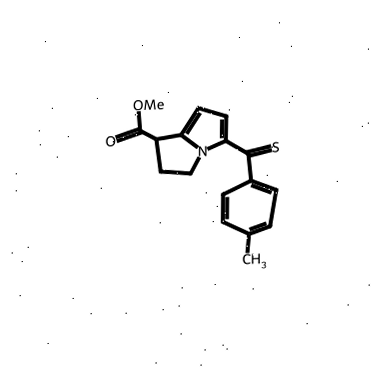 COC(=O)C1CCn2c(C(=S)c3ccc(C)cc3)ccc21